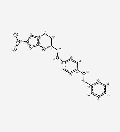 O=[N+]([O-])c1cn2c(n1)OC(COc1ccc(OCc3ccccc3)cc1)CC2